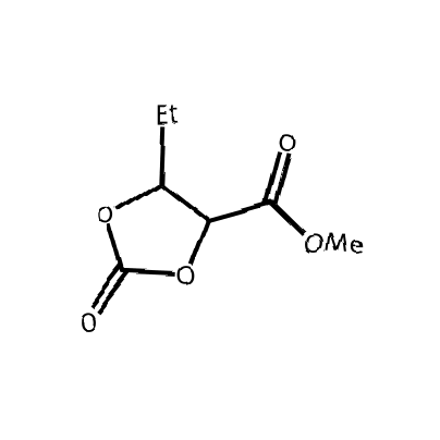 CCC1OC(=O)OC1C(=O)OC